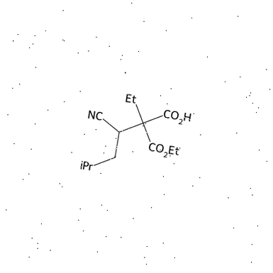 CCOC(=O)C(CC)(C(=O)O)C(C#N)CC(C)C